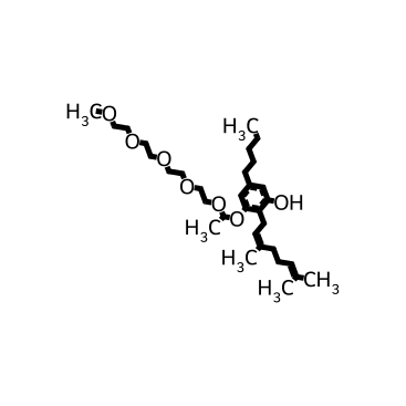 CCCCCc1cc(O)c(CC=C(C)CCC=C(C)C)c(OC(C)OCCOCCOCCOCCOC)c1